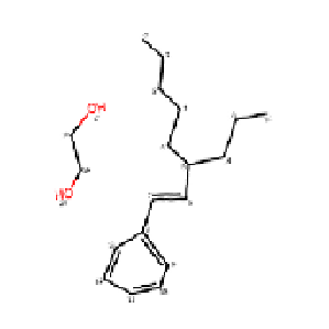 CCCCCC(C=Cc1ccccc1)CCC.OCCO